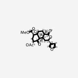 COC(=O)[C@@H]1C[C@H](OC(C)=O)C(=O)[C@@H]2[C@H]3C[C@H](c4ccoc4)OC(=O)[C@@H]3CC[C@]21C